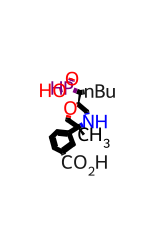 CCCCC([C@H]1CN[C@](C)(c2cccc(C(=O)O)c2)CO1)[PH](=O)O